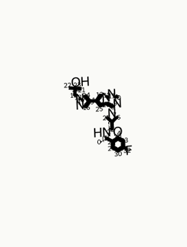 C[C@H](NC(=O)C1CN(c2ncnn3cc(-c4cnn(CC(C)(C)O)c4)cc23)C1)c1ccc(F)cc1